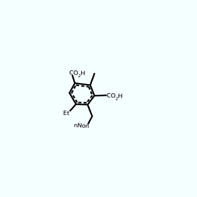 CCCCCCCCCCc1c(CC)cc(C(=O)O)c(C)c1C(=O)O